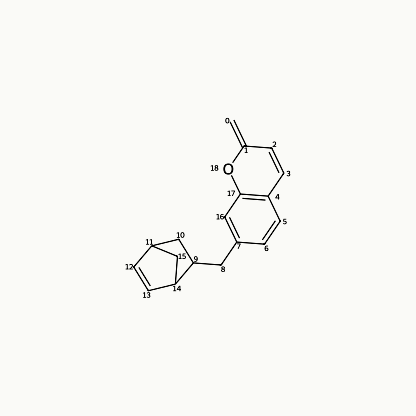 C=C1C=Cc2ccc(CC3CC4C=CC3C4)cc2O1